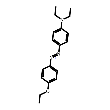 CCOc1ccc(/N=N/c2ccc(N(CC)CC)cc2)cc1